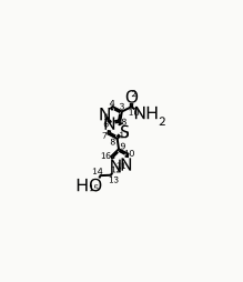 NC(=O)c1cnn2cc(-c3cnn(CCO)c3)sc12